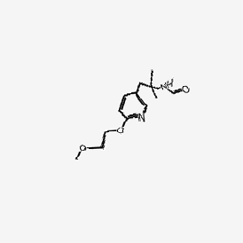 COCCOc1ccc(CC(C)(C)NC=O)cn1